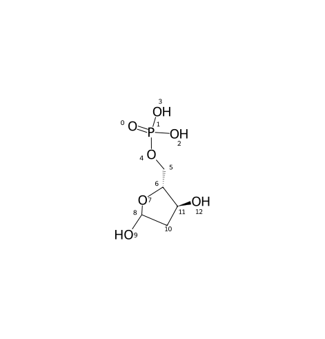 O=P(O)(O)OC[C@H]1OC(O)C[C@@H]1O